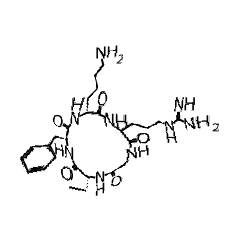 CC[C@H]1NC(=O)CNC(=O)C(CCCNC(=N)N)NC(=O)[C@H](CCCCN)NC(=O)[C@H](Cc2ccccc2)NC1=O